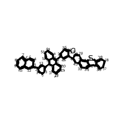 c1cc(-c2ccc3ccccc3c2)cc(-c2c3ccccc3c(-c3ccc4oc5cc6c(ccc7c8ccccc8sc67)cc5c4c3)c3ccccc23)c1